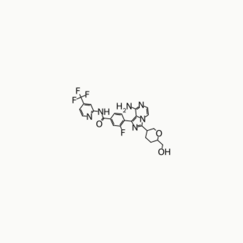 Nc1nccn2c(C3CCC(CO)OC3)nc(-c3ccc(C(=O)Nc4cc(C(F)(F)F)ccn4)cc3F)c12